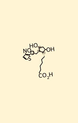 O=C(O)CCCCCC[C@H]1C(O)C[C@@H](O)[C@@H]1COc1sccc1[N+](=O)[O-]